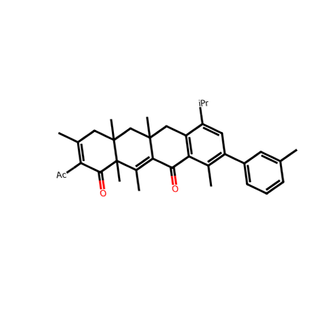 CC(=O)C1=C(C)CC2(C)CC3(C)Cc4c(C(C)C)cc(-c5cccc(C)c5)c(C)c4C(=O)C3=C(C)C2(C)C1=O